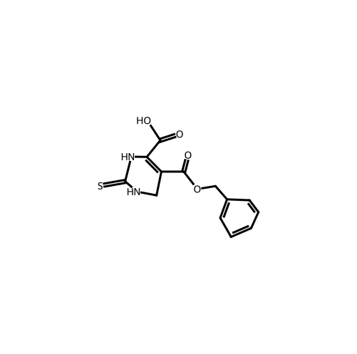 O=C(O)C1=C(C(=O)OCc2ccccc2)CNC(=S)N1